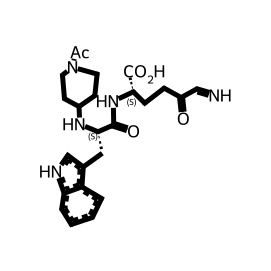 CC(=O)N1CCC(N[C@@H](Cc2c[nH]c3ccccc23)C(=O)N[C@@H](CCC(=O)C=N)C(=O)O)CC1